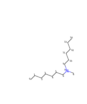 CCCCCCCN(C)CCCCCC